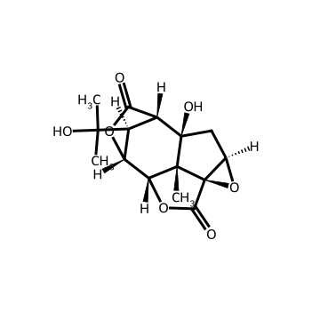 CC(C)(O)[C@@H]1[C@H]2OC(=O)[C@@H]1[C@]1(O)C[C@H]3O[C@]34C(=O)O[C@H]2[C@]14C